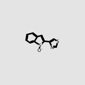 [O-][s+]1c(-c2cscn2)cc2ccccc21